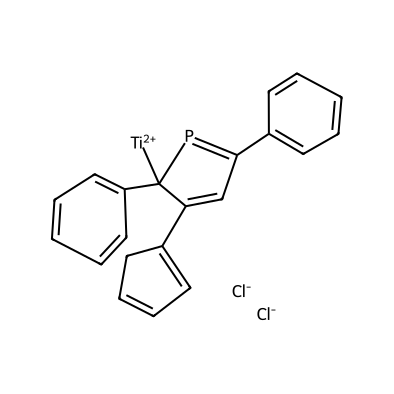 [Cl-].[Cl-].[Ti+2][C]1(c2ccccc2)P=C(c2ccccc2)C=C1C1=CC=CC1